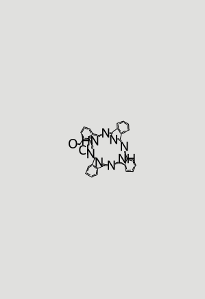 O=C(Cl)c1cccc2c3nc4nc(nc5[nH]c(nc6nc(nc([nH]3)c12)-c1ccccc1-6)c1ccccc51)-c1ccccc1-4